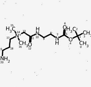 CC(C)(C)OC(=O)NCCNC(=O)C[N+](C)(C)CCCN